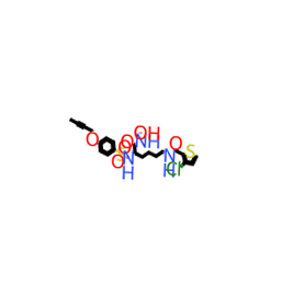 CC#CCOc1ccc(S(=O)(=O)NC(CCCCNC(=O)c2sccc2Cl)C(=O)NO)cc1